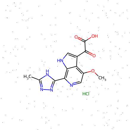 COc1cnc(-c2nnc(C)[nH]2)c2[nH]cc(C(=O)C(=O)O)c12.Cl